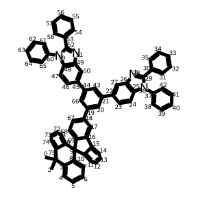 CC1(C)c2ccccc2C2(c3ccccc3-c3cc(-c4cc(-c5ccc6c(c5)nc(-c5ccccc5)n6-c5ccccc5)cc(-c5ccc6c(c5)nc(-c5ccccc5)n6-c5ccccc5)c4)ccc32)c2ccccc21